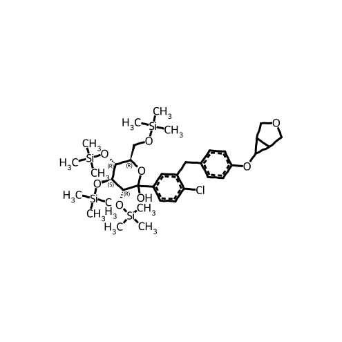 C[Si](C)(C)OC[C@H]1OC(O)(c2ccc(Cl)c(Cc3ccc(OC4C5COCC54)cc3)c2)[C@H](O[Si](C)(C)C)[C@@H](O[Si](C)(C)C)[C@@H]1O[Si](C)(C)C